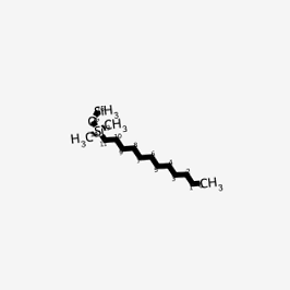 CCCCCCCCCCCC[Si](C)(C)O[SiH3]